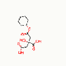 O=C(O)CC(O)(CC(=O)OC1CCCCC1)C(=O)O